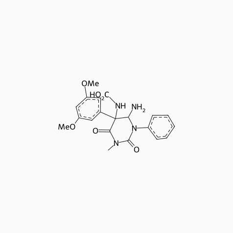 COc1cc(OC)cc(C2(NC(=O)O)C(=O)N(C)C(=O)N(c3ccccc3)C2N)c1